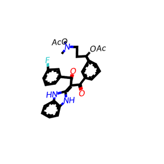 CC(=O)OC(CCN(C)OC(C)=O)c1cccc(C(=O)C(C(=O)c2cccc(F)c2)=C2Nc3ccccc3N2)c1